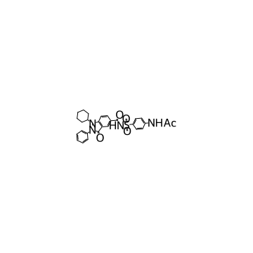 CC(=O)Nc1ccc(S(=O)(=O)NC(=O)c2ccc3c(c2)c(=O)n(-c2ccccc2)n3C2CCCCC2)cc1